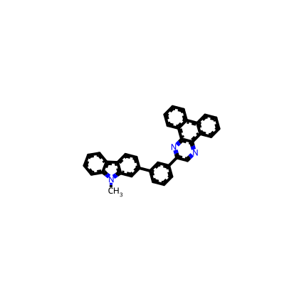 Cn1c2ccccc2c2ccc(-c3cccc(-c4cnc5c6ccccc6c6ccccc6c5n4)c3)cc21